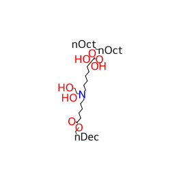 CCCCCCCCCCCOC(=O)CCCCCN(CCCCCCC(O)(O)C(=O)OC(CCCCCCCC)CCCCCCCC)C(O)CO